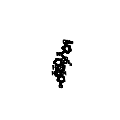 COc1cccc(NC(=O)[C@H]2CC[C@H]3[C@@H]4CCC5=CC(=O)CC[C@]5(C)[C@H]4CC[C@]23C)c1